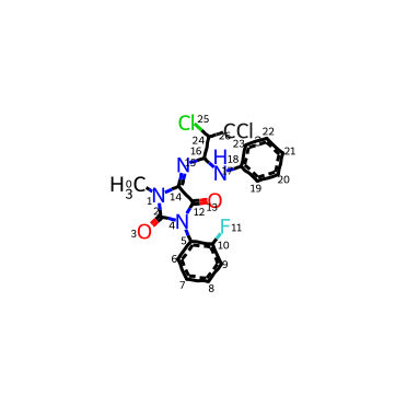 CN1C(=O)N(c2ccccc2F)C(=O)C1=NC(Nc1ccccc1)C(Cl)C(Cl)(Cl)Cl